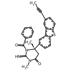 CC#Cc1ccc2sc3ccc([C@]4(C)CC(=O)N(C)C(=N)N4C(=O)c4ccccc4)cc3c2c1